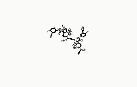 C#CC(O)[C@H]1C=Cc2c(cn(C/C=C/C(O)[C@H]3C=Cc4c(cn(C)c4C(=O)Nc4ccc(F)c(C#N)c4)S(=O)(=O)N3)c2C(=O)Nc2ccc(F)c(C#N)c2)S(=O)(=O)N1